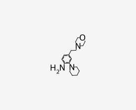 Nc1ccc(CCN2CCOCC2)cc1N1CCCCC1